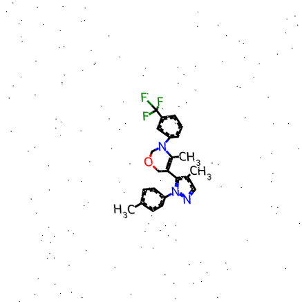 CC1=C(c2c(C)cnn2-c2ccc(C)cc2)COCN1c1cccc(C(F)(F)F)c1